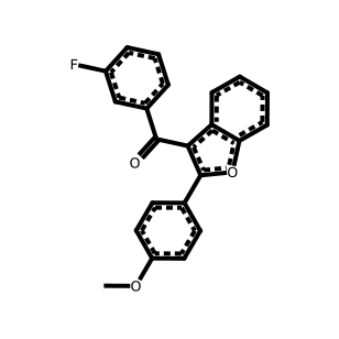 COc1ccc(-c2oc3ccccc3c2C(=O)c2cccc(F)c2)cc1